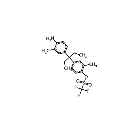 CCC(CC)(c1ccc(N)c(C)c1)c1ccc(OS(=O)(=O)C(F)(F)F)c(C)c1